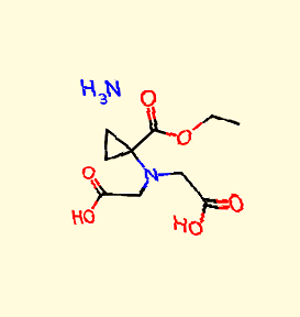 CCOC(=O)C1(N(CC(=O)O)CC(=O)O)CC1.N